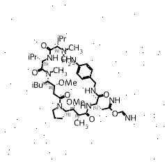 CC[C@H](C)[C@@H]([C@@H](CC(=O)N1CCC[C@H]1[C@H](OC)[C@@H](C)C(=O)N[C@@H](CC(=N)OC=N)C(=O)NCc1ccc(N)cc1)OC)N(C)C(=O)[C@@H](NC(=O)[C@H](C(C)C)N(C)C)C(C)C